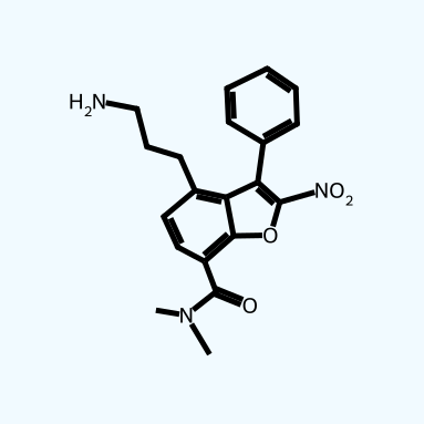 CN(C)C(=O)c1ccc(CCCN)c2c(-c3ccccc3)c([N+](=O)[O-])oc12